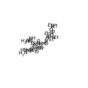 CCN(CC)c1ccc2c(-c3ccccc3C(=O)N3CCN(C(=O)CC[C@H](NCC(=O)[C@H](CCCNC(=N)N)NC(=O)[C@H](CCCNC(=N)N)NC(C)C)C(=O)CNCC(=O)C(C)C)CC3)c3ccc(=[N+](CC)CC)cc-3oc2c1